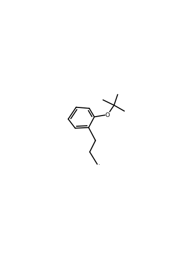 [CH2]CCc1ccccc1OC(C)(C)C